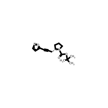 CC(C)(C)OC(=O)N1CCC[C@H]1CC#Cc1ccno1